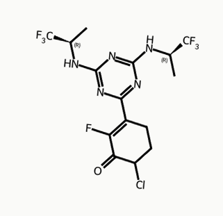 C[C@@H](Nc1nc(N[C@H](C)C(F)(F)F)nc(C2=C(F)C(=O)C(Cl)CC2)n1)C(F)(F)F